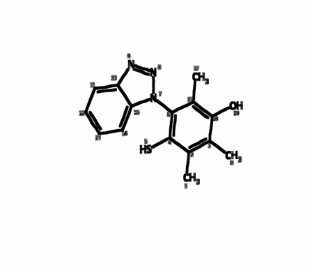 Cc1c(C)c(S)c(-n2nnc3ccccc32)c(C)c1O